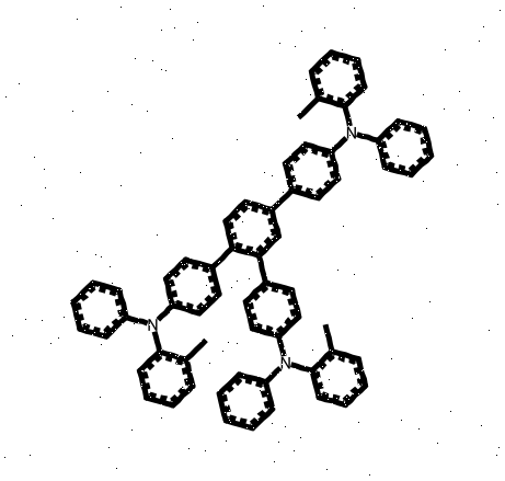 Cc1ccccc1N(c1ccccc1)c1ccc(-c2ccc(-c3ccc(N(c4ccccc4)c4ccccc4C)cc3)c(-c3ccc(N(c4ccccc4)c4ccccc4C)cc3)c2)cc1